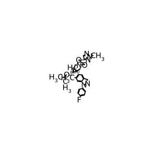 Cc1cc2c(cnn2-c2ccc(F)cc2)cc1[C@@]12CN(S(=O)(=O)c3cnn(C)n3)C[C@@H]1[C@H]2COC(C)C